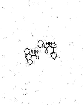 Cc1cccc(-c2sc(C)nc2C(=O)N2[C@@H]3CC[C@@H](C3)[C@H]2CNC(=O)c2c3c(cc4c2OCC4)OCC3)c1